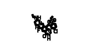 CCN[C@H]1CCCN(Cc2c(C(F)(F)F)cc3c(=O)[nH]cnc3c2Cc2cc(Cl)ccc2S(=O)(=O)CC)C1